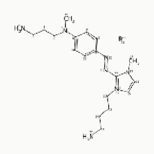 CN(CCCN)c1ccc(N=Nc2n(C)cc[n+]2CCCCN)cc1.[Br-]